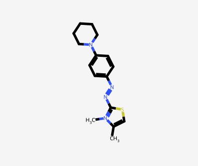 Cc1csc(/N=N/c2ccc(N3CCCCC3)cc2)[n+]1C